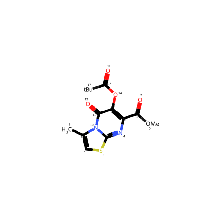 COC(=O)c1nc2scc(C)n2c(=O)c1OC(=O)C(C)(C)C